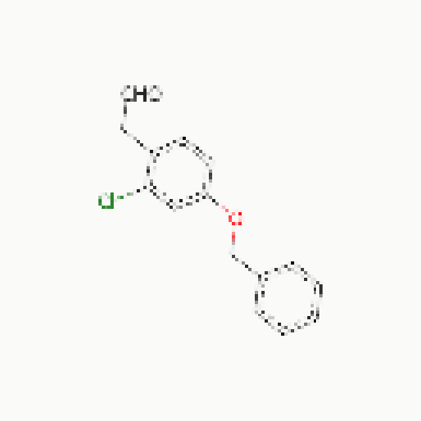 O=CCc1ccc(OCc2ccccc2)cc1Cl